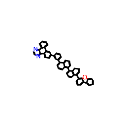 C1=C(c2cccc3c2oc2ccccc23)c2cccc(-c3cccc4c(-c5cccc(-c6ccc7c(c6)c6ccccc6c6nccnc76)c5)cccc34)c2CC1